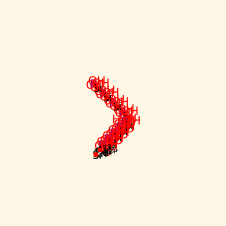 O.O=[Si]([O-])OP(=O)(O)O.O=[Si]([O-])OP(=O)(O)O.O=[Si]([O-])OP(=O)(O)O.O=[Si]([O-])OP(=O)(O)O.O=[Si]([O-])OP(=O)(O)O.O=[Si]([O-])OP(=O)(O)O.O=[Si]([O-])OP(=O)(O)O.O=[Si]([O-])OP(=O)(O)O.O=[Si]([O-])OP(=O)(O)O.[Al+3].[Ca+2].[Sr+2].[Zn+2]